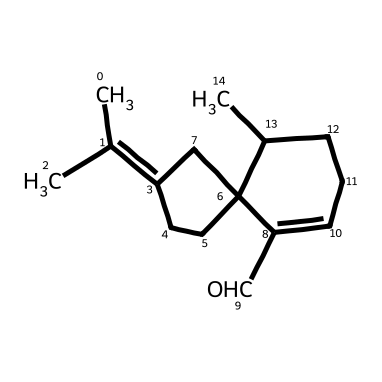 CC(C)=C1CCC2(C1)C(C=O)=CCCC2C